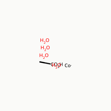 CC(=O)O.O.O.O.O.[Co]